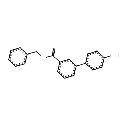 O=C(OCc1ccccc1)c1cccc(-c2ccc(O)cc2)c1